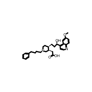 COc1ccc2nccc([C@H](O)CC[C@@H]3CCN(CCCCc4ccccc4)C[C@@H]3CC(=O)O)c2c1